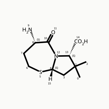 CC1(C)C[C@@H]2SCC[C@H](N)C(=O)N2[C@@H]1C(=O)O